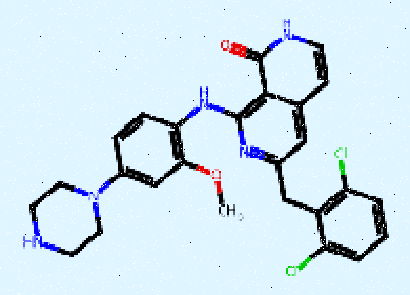 COc1cc(N2CCNCC2)ccc1Nc1nc(Cc2c(Cl)cccc2Cl)cc2cc[nH]c(=O)c12